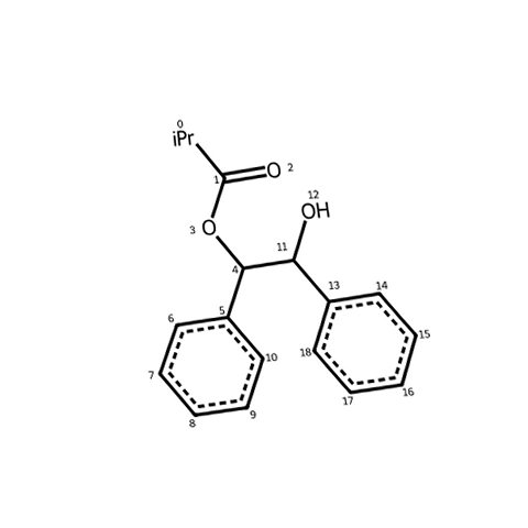 CC(C)C(=O)OC(c1ccccc1)C(O)c1ccccc1